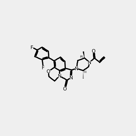 C=CC(=O)N1C[C@H](C)N(c2nc(=O)n3c4c(c(-c5ccc(F)cc5F)ccc24)OCC3)C[C@H]1C